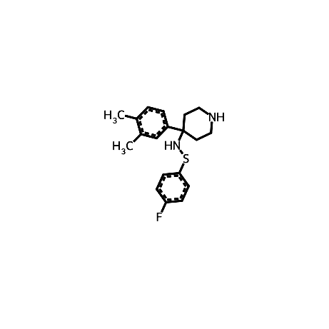 Cc1ccc(C2(NSc3ccc(F)cc3)CCNCC2)cc1C